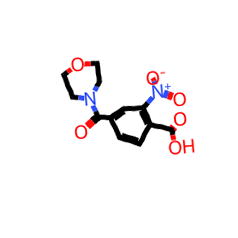 O=C(O)c1ccc(C(=O)N2CCOCC2)cc1[N+](=O)[O-]